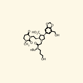 CCCCN(CCCO)C(=O)CN1C[C@H](c2cc(CO)c3c(c2)OCO3)[C@@H](C(=O)O)[C@@H]1CCN1C(=O)CCN(C)C1=O